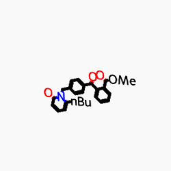 CCCCc1cccc(=O)n1Cc1ccc(C(=O)c2ccccc2C(=O)OC)cc1